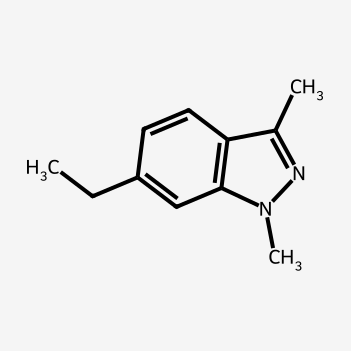 CCc1ccc2c(C)nn(C)c2c1